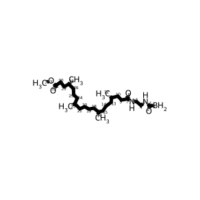 BC(=O)NCCNC(=O)CCC(C)CCCC(C)CCCCC(C)CCCC(C)CCC(=O)OC